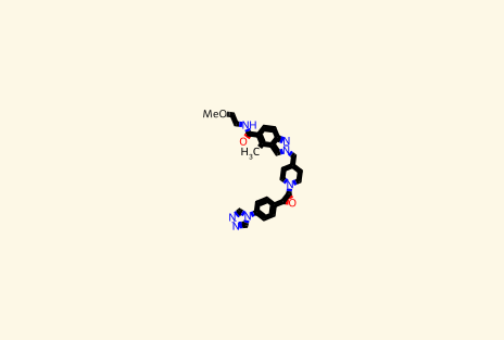 COCCNC(=O)c1ccc2nn(CC3CCN(C4OC4c4ccc(-n5cnnc5)cc4)CC3)cc2c1C